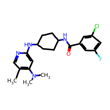 Cc1cnc(NC2CCC(NC(=O)c3cc(F)cc(Cl)c3)CC2)cc1N(C)C